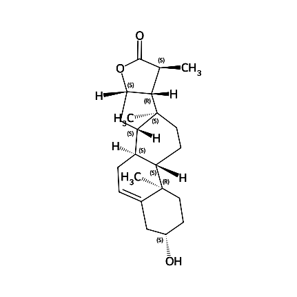 C[C@@H]1C(=O)O[C@H]2C[C@H]3[C@@H]4CC=C5C[C@@H](O)CC[C@]5(C)[C@H]4CC[C@]3(C)[C@H]21